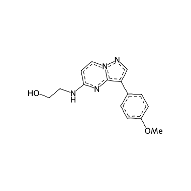 COc1ccc(-c2cnn3ccc(NCCO)nc23)cc1